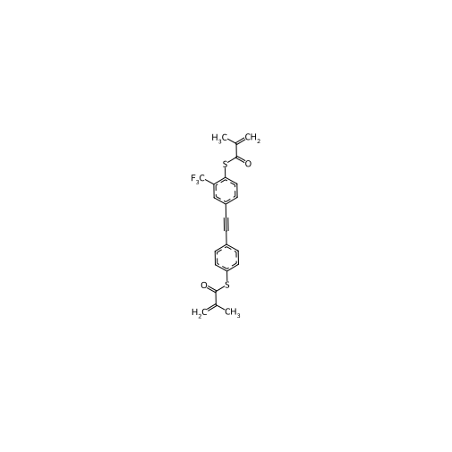 C=C(C)C(=O)Sc1ccc(C#Cc2ccc(SC(=O)C(=C)C)c(C(F)(F)F)c2)cc1